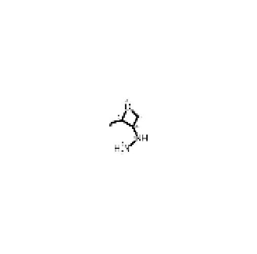 CC1OCC1NN